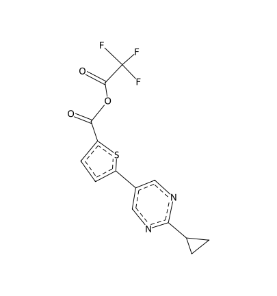 O=C(OC(=O)C(F)(F)F)c1ccc(-c2cnc(C3CC3)nc2)s1